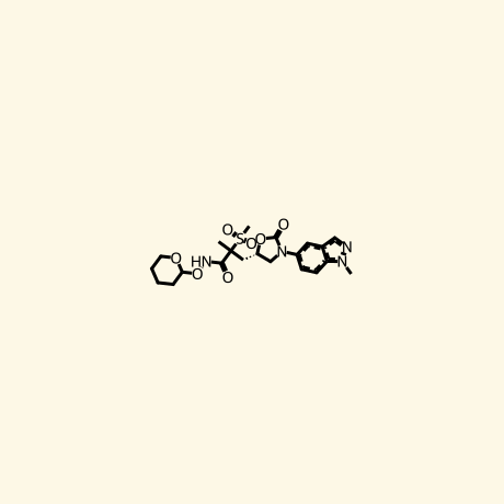 Cn1ncc2cc(N3C[C@H](CC(C)(C(=O)NOC4CCCCO4)S(C)(=O)=O)OC3=O)ccc21